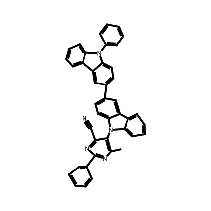 Cc1nc(-c2ccccc2)nc(C#N)c1-n1c2ccccc2c2cc(-c3ccc4c(c3)c3ccccc3n4-c3ccccc3)ccc21